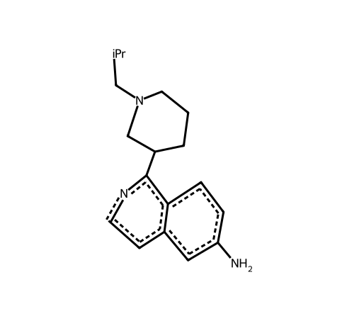 CC(C)CN1CCCC(c2nccc3cc(N)ccc23)C1